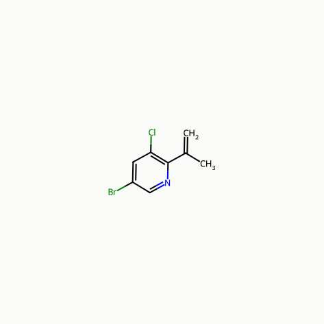 C=C(C)c1ncc(Br)cc1Cl